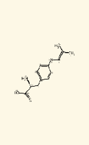 CC(C)=NNc1ccc(C[C@H](N)C(=O)O)cc1